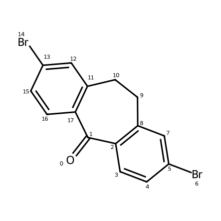 O=C1c2ccc(Br)cc2CCc2cc(Br)ccc21